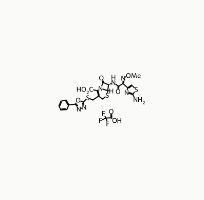 CON=C(C(=O)N[C@@H]1C(=O)N2C(C(=O)O)=C(CSc3nnc(-c4ccccc4)o3)CS[C@@H]12)c1csc(N)n1.O=C(O)C(F)(F)F